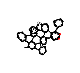 Cc1cc2c(c(-c3c(-c4ccccc4)nnnc3-c3cccc(-c4ccccc4)c3-c3c(-c4ccccc4-c4ccccc4)ccc4[se]c5ccccc5c34)c1C)Cc1ccccc1-2